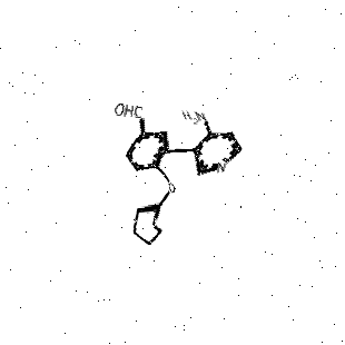 Nc1ccncc1-c1cc(C=O)ccc1OC1CCCC1